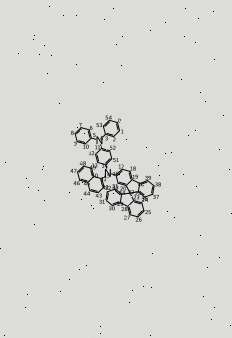 c1ccc(N(c2ccccc2)c2ccc(N(c3ccc4c(c3)C3(c5ccccc5-c5ccccc53)c3ccccc3-4)c3cccc4ccccc34)cc2)cc1